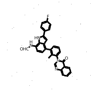 Cc1c(-c2ccc(NC=O)c3[nH]c(-c4ccc(F)cc4)cc23)cccc1-n1cnc2ccccc2c1=O